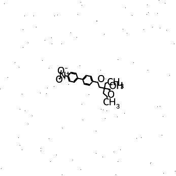 CCCC(CC)(CC(=O)c1ccc(-c2ccc([N+](=O)[O-])cc2)cc1)C(=O)O